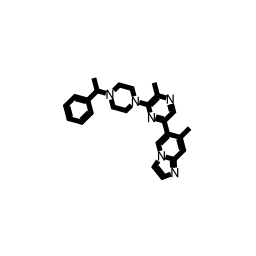 Cc1cc2nccn2cc1-c1cnc(C)c(N2CCN(C(C)c3ccccc3)CC2)n1